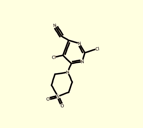 N#Cc1nc(Cl)nc(N2CCS(=O)(=O)CC2)c1Cl